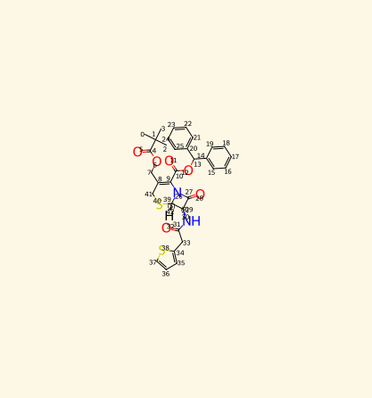 CC(C)(C)C(=O)OCC1=C(C(=O)OC(c2ccccc2)c2ccccc2)N2C(=O)[C@@H](NC(=O)Cc3cccs3)[C@@H]2SC1